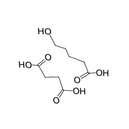 O=C(O)CCC(=O)O.O=C(O)CCCCO